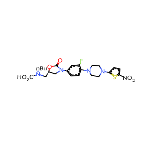 CCCCN(C[C@@H]1CN(c2ccc(N3CCN(c4ccc([N+](=O)[O-])s4)CC3)c(F)c2)C(=O)O1)C(=O)O